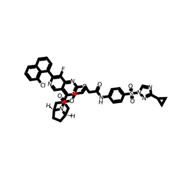 C=CCOC(=O)N1[C@@H]2CC[C@H]1CN(c1nc(OCC(=O)Nc3ccc(S(=O)(=O)n4cnc(C5CC5)n4)cc3)nc3c(F)c(-c4cccc5cccc(Cl)c45)ncc13)C2